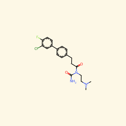 CN(C)CCN(C(N)=O)C(=O)[CH]Cc1ccc(-c2ccc(F)c(Cl)c2)cc1